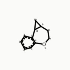 c1ccc2c(c1)OCCC1CC21